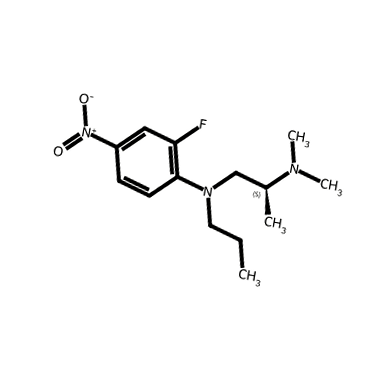 CCCN(C[C@H](C)N(C)C)c1ccc([N+](=O)[O-])cc1F